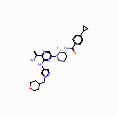 C=C(N)c1ncc(N2CCC[C@@H](NC(=O)c3ccc(C4CC4)cc3)[C@H]2C)nc1Nc1cnn(CC2CCOCC2)c1